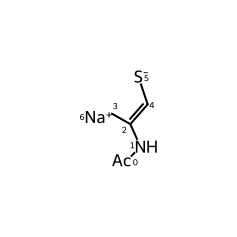 CC(=O)N/C(C)=C/[S-].[Na+]